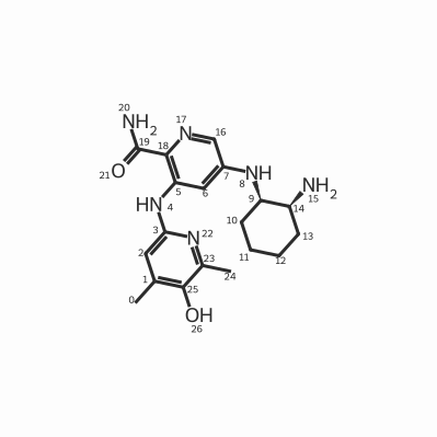 Cc1cc(Nc2cc(N[C@@H]3CCCC[C@@H]3N)cnc2C(N)=O)nc(C)c1O